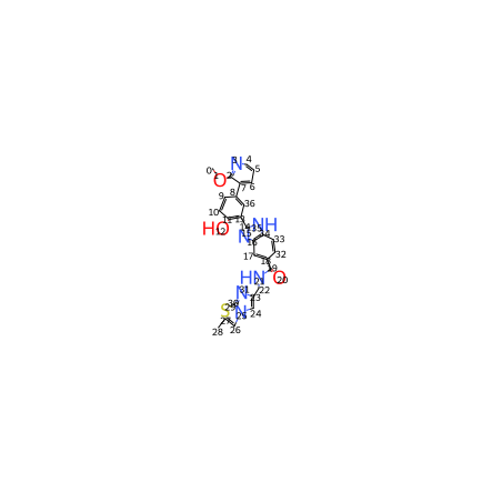 COc1ncccc1-c1ccc(O)c(-c2nc3cc(C(=O)NCc4cn5cc(C)sc5n4)ccc3[nH]2)c1